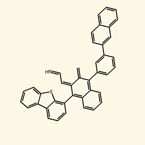 C=c1c(-c2cccc(-c3ccc4ccccc4c3)c2)c2ccccc2c(-c2cccc3c2sc2ccccc23)/c1=C/C=N